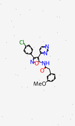 COc1cccc(CC(=O)Nc2onc(-c3ccc(Cl)cc3)c2-c2ccncn2)c1